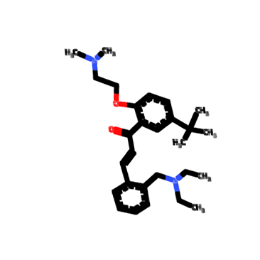 CCN(CC)Cc1ccccc1C=CC(=O)c1cc(C(C)(C)C)ccc1OCCN(C)C